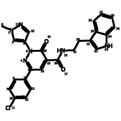 Cn1cc(-n2nc(-c3ccc(Cl)cc3)cc(C(=O)NCCc3c[nH]c4ccccc34)c2=O)cn1